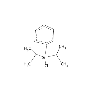 CC(C)[Si](Cl)(c1ccccc1)C(C)C